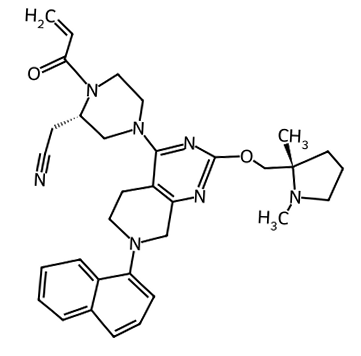 C=CC(=O)N1CCN(c2nc(OC[C@]3(C)CCCN3C)nc3c2CCN(c2cccc4ccccc24)C3)C[C@@H]1CC#N